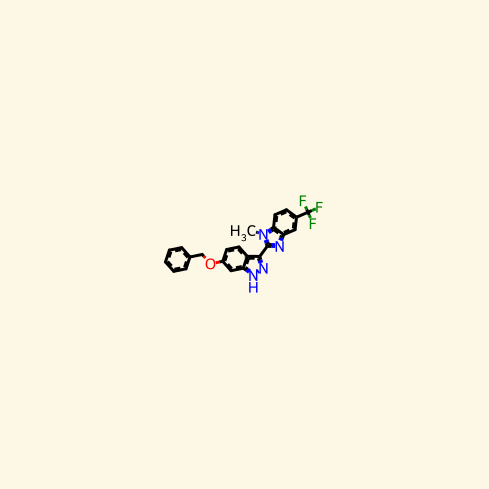 Cn1c(-c2n[nH]c3cc(OCc4ccccc4)ccc23)nc2cc(C(F)(F)F)ccc21